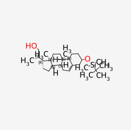 C[C@H](CO)[C@H]1CC[C@H]2[C@@H]3CC=C4CC(O[Si](C)(C)C(C)(C)C)CC[C@]4(C)[C@H]3CC[C@]12C